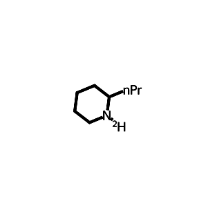 [2H]N1CCCCC1CCC